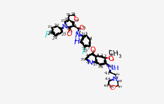 COc1cc2c(Oc3ccc(NC(=O)c4c5c(cn(-c6ccc(F)cc6)c4=O)CCO5)cc3F)ccnc2cc1NCCN1CCOCC1